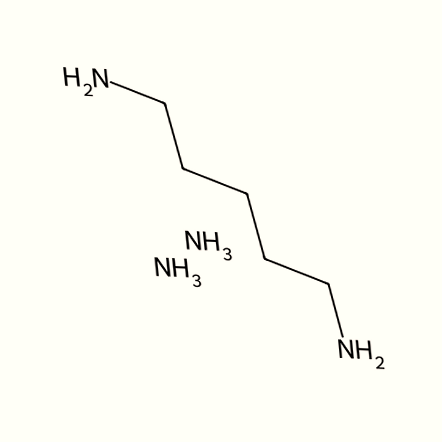 N.N.NCCCCCN